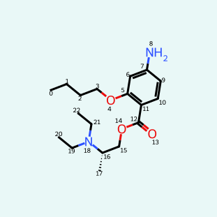 CCCCOc1cc(N)ccc1C(=O)OC[C@H](C)N(CC)CC